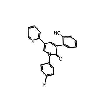 N#Cc1ccccc1-c1cc(-c2ccccn2)cn(-c2ccc(F)cc2)c1=O